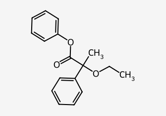 CCOC(C)(C(=O)Oc1ccccc1)c1ccccc1